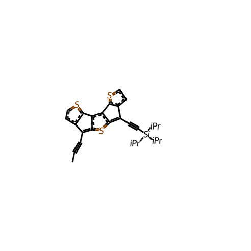 CC#CC1=c2sc3c(c2-c2sccc21)-c1sccc1C=3C#C[Si](C(C)C)(C(C)C)C(C)C